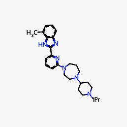 Cc1cccc2nc(-c3cccc(N4CCCN(C5CCN(C(C)C)CC5)CC4)n3)[nH]c12